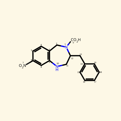 O=C(O)N1Cc2ccc([N+](=O)[O-])cc2NCC1Cc1ccccc1